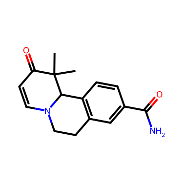 CC1(C)C(=O)C=CN2CCc3cc(C(N)=O)ccc3C21